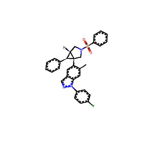 Cc1cc2c(cnn2-c2ccc(F)cc2)cc1[C@]12CN(S(=O)(=O)c3ccccc3)C[C@H]1[C@@H]2c1ccccc1